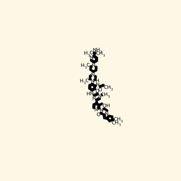 C=CC(=O)Nc1cc(Nc2nc(-c3ccnc(N4CCn5c(cc6c5CC(C)(C)C6)C4=O)c3CO)cn(C)c2=O)ccc1N1CCN(C2CCN(c3ccc(C(C)(C)N)nc3)[C@H](C)C2)C[C@@H]1C